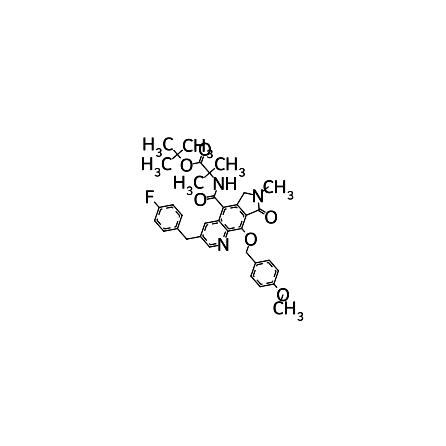 COc1ccc(COc2c3c(c(C(=O)NC(C)(C)C(=O)OC(C)(C)C)c4cc(Cc5ccc(F)cc5)cnc24)CN(C)C3=O)cc1